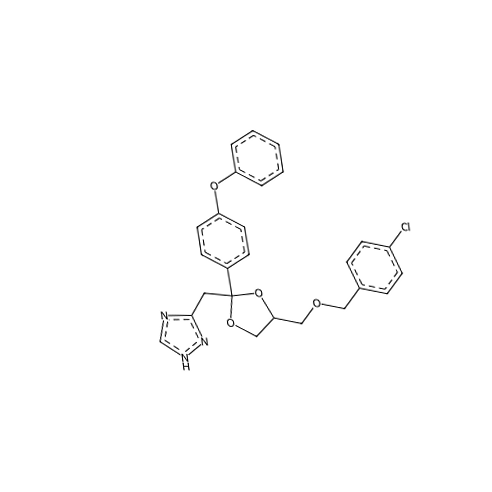 Clc1ccc(COCC2COC(Cc3nc[nH]n3)(c3ccc(Oc4ccccc4)cc3)O2)cc1